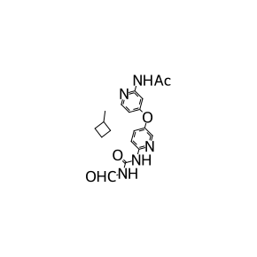 CC(=O)Nc1cc(Oc2ccc(NC(=O)NC=O)nc2)ccn1.CC1CCC1